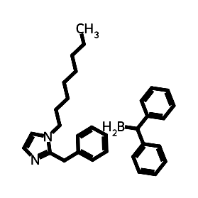 BC(c1ccccc1)c1ccccc1.CCCCCCCCn1ccnc1Cc1ccccc1